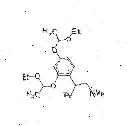 CCOC(C)Oc1ccc(C(CNC)C(C)C)c(OC(C)OCC)c1